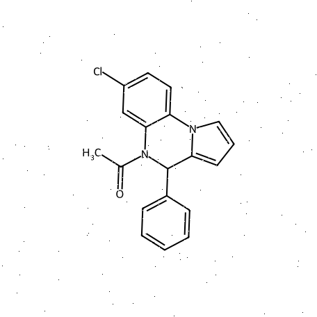 CC(=O)N1c2cc(Cl)ccc2-n2cccc2C1c1ccccc1